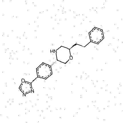 [CH](Cc1ccccc1)[C@@H]1CN[C@@H](c2ccc(-c3nnco3)cc2)CO1